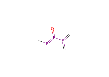 C=P(=C)P(=O)=PC